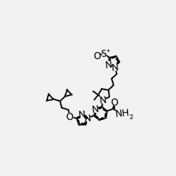 CC1(C)CC(CCCn2ccc([S+]=O)n2)CN1c1nc(-n2ccc(OCCC(C3CC3)C3CC3)n2)ccc1C(N)=O